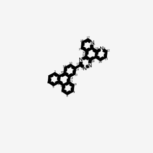 c1ccc2c(c1)c1ccccc1c1cc(-c3nnc4c5cccnc5c5ncccc5c4n3)ccc21